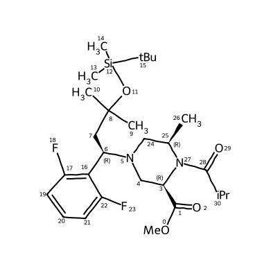 COC(=O)[C@H]1CN([C@H](CC(C)(C)O[Si](C)(C)C(C)(C)C)c2c(F)cccc2F)C[C@@H](C)N1C(=O)C(C)C